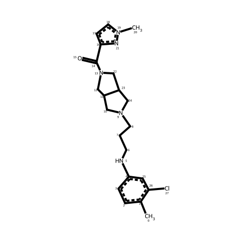 Cc1ccc(NCCCN2CC3CN(C(=O)c4ccn(C)n4)CC3C2)cc1Cl